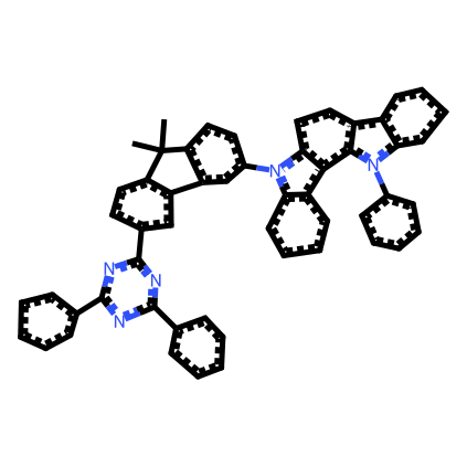 CC1(C)c2ccc(-c3nc(-c4ccccc4)nc(-c4ccccc4)n3)cc2-c2cc(-n3c4ccccc4c4c3ccc3c5ccccc5n(-c5ccccc5)c34)ccc21